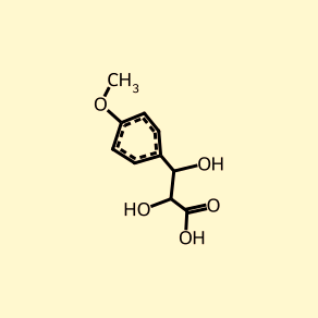 COc1ccc(C(O)C(O)C(=O)O)cc1